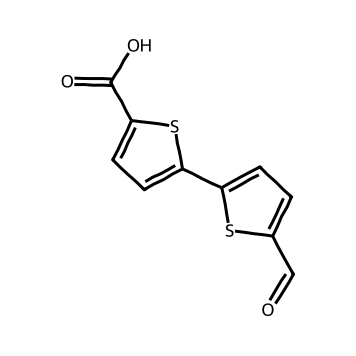 O=Cc1ccc(-c2ccc(C(=O)O)s2)s1